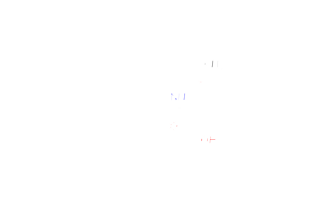 COc1cccc(O)c1C(=O)Nc1ccc(-c2cccc3c2C=CCC3)cc1